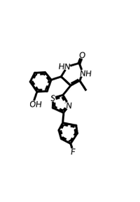 CC1=C(c2nc(-c3ccc(F)cc3)cs2)C(c2cccc(O)c2)NC(=O)N1